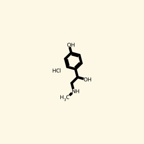 CNCC(O)c1ccc(O)cc1.Cl